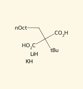 CCCCCCCCCC(C(=O)O)(C(=O)O)C(C)(C)C.[KH].[LiH]